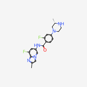 Cc1cn2cc(NC(=O)c3ccc(N4CCN[C@@H](C)C4)cc3F)cc(F)c2n1